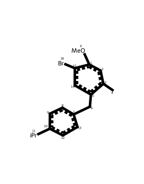 COc1cc(C)c(Cc2ccc(C(C)C)cc2)cc1Br